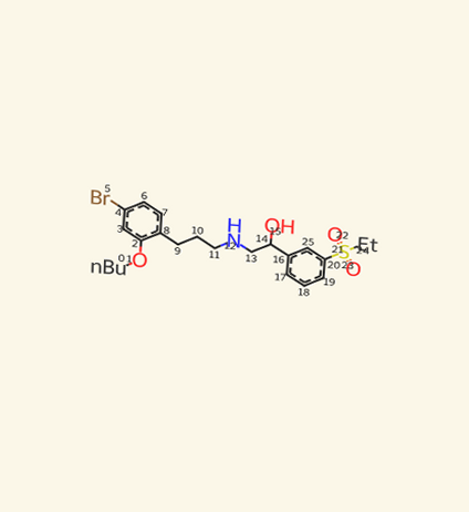 CCCCOc1cc(Br)ccc1CCCNCC(O)c1cccc(S(=O)(=O)CC)c1